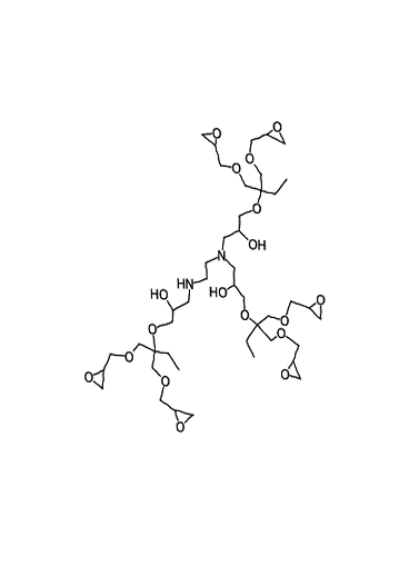 CCC(COCC1CO1)(COCC1CO1)OCC(O)CNCCN(CC(O)COC(CC)(COCC1CO1)COCC1CO1)CC(O)COC(CC)(COCC1CO1)COCC1CO1